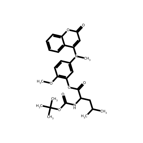 COc1ccc(N(C)c2cc(=O)oc3ccccc23)cc1OC(=O)C(CC(C)C)NC(=O)OC(C)(C)C